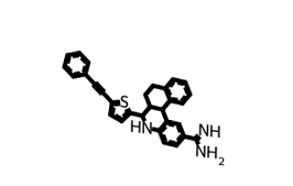 N=C(N)c1ccc2c(c1)C1c3ccccc3CCC1C(c1ccc(C#Cc3ccccc3)s1)N2